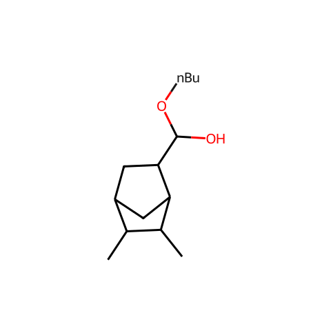 CCCCOC(O)C1CC2CC1C(C)C2C